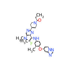 C=CC(=O)N1CC=C(c2ncc(N=C)c(/C(Nc3ccc(Oc4ccn5ncnc5c4)c(C)c3)=C(\C)F)n2)CC1